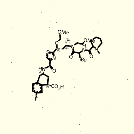 CCC(C)C(NC(=O)C1CCCCN1C)C(=O)N(CCOC)[C@H](C[C@@H](OCOC)c1nc(C(=O)N[C@H]2Cc3ccc(F)cc3[C@H](C(=O)O)C2)cs1)C(C)C